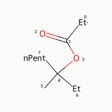 C[CH]C(=O)OC(C)(CC)CCCCC